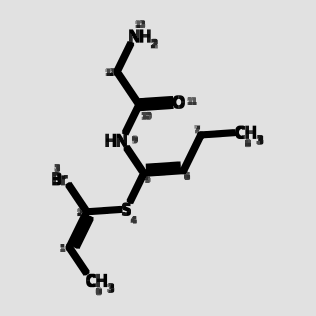 C/C=C(/Br)S/C(=C/CC)NC(=O)CN